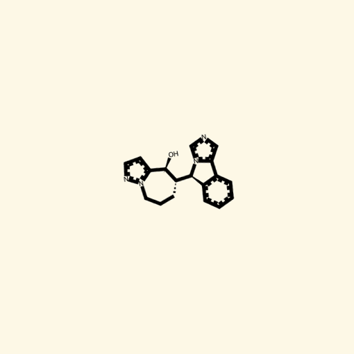 O[C@@H]1c2ccnn2CCC[C@H]1[C@@H]1c2ccccc2-c2cncn21